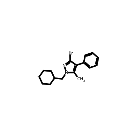 Cc1c(-c2ccccc2)c(Br)nn1CC1CC[CH]CC1